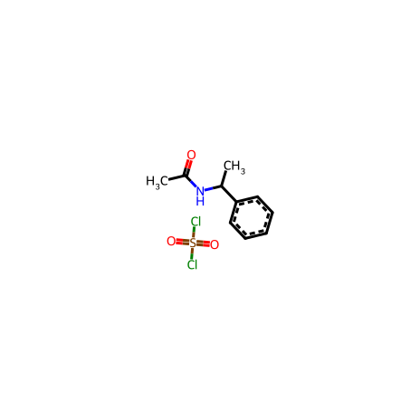 CC(=O)NC(C)c1ccccc1.O=S(=O)(Cl)Cl